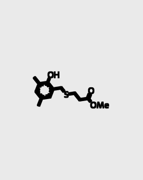 COC(=O)CCSCc1cc(C)cc(C)c1O